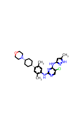 Cc1cc(Nc2nc(Nc3cc(C)c([C@H]4CC[C@@H](N5CCOCC5)CC4)cc3C)ncc2Cl)n[nH]1